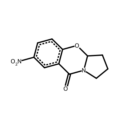 O=C1c2cc([N+](=O)[O-])ccc2OC2CCCN12